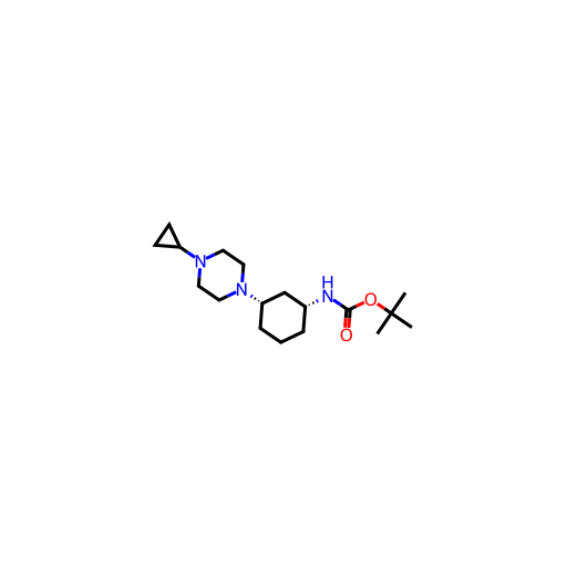 CC(C)(C)OC(=O)N[C@@H]1CCC[C@H](N2CCN(C3CC3)CC2)C1